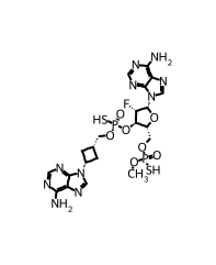 COP(=O)(S)OC[C@H]1O[C@@H](n2cnc3c(N)ncnc32)[C@@H](F)[C@@H]1OP(=O)(S)OC[C@H]1C[C@@H](n2cnc3c(N)ncnc32)C1